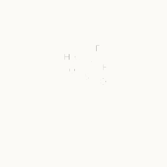 CC(F)(F)S(=O)(=O)c1ccccc1